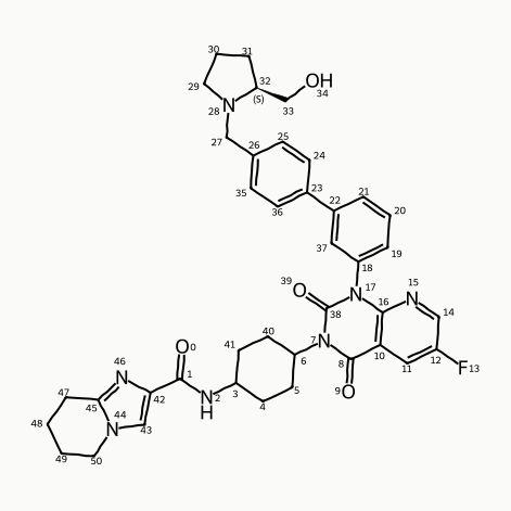 O=C(NC1CCC(n2c(=O)c3cc(F)cnc3n(-c3cccc(-c4ccc(CN5CCC[C@H]5CO)cc4)c3)c2=O)CC1)c1cn2c(n1)CCCC2